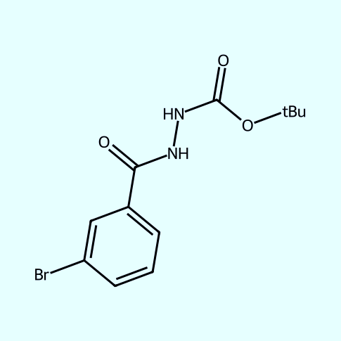 CC(C)(C)OC(=O)NNC(=O)c1cccc(Br)c1